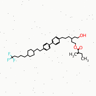 C=C(CC)C(=O)OCCC(CCO)CCCc1ccc(-c2ccc(CCC3CCC(CCCCC(F)(F)F)CC3)cc2)cc1